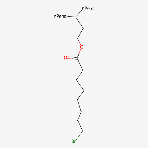 CCCCCC(CCCCC)CCOC(=O)CCCCCCCBr